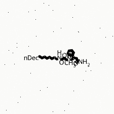 CCCCCCCCCCCCCCCCCCNC(=O)[C@H](O)[C@H](C)n1cc(CC(N)=O)c2ccccc21